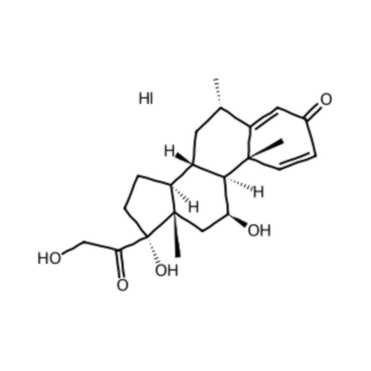 C[C@H]1C[C@@H]2[C@H]([C@@H](O)C[C@@]3(C)[C@H]2CC[C@]3(O)C(=O)CO)[C@@]2(C)C=CC(=O)C=C12.I